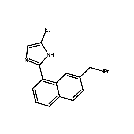 CCc1cnc(-c2cccc3ccc(CC(C)C)cc23)[nH]1